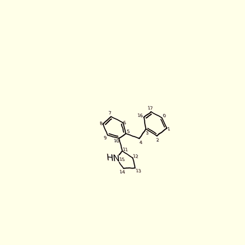 c1ccc(Cc2ccccc2C2CCCN2)cc1